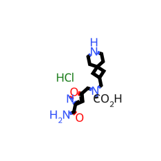 Cl.NC(=O)c1cc(CN(CC2CC3(CCNCC3)C2)C(=O)O)on1